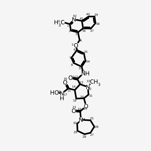 Cc1cc(COc2ccc(NC(=O)C3C(C(=O)NO)CC(OC(=O)N4CCCCCC4)CN3C)cc2)c2ccccc2n1